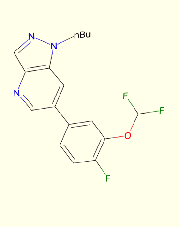 CCCCn1ncc2ncc(-c3ccc(F)c(OC(F)F)c3)cc21